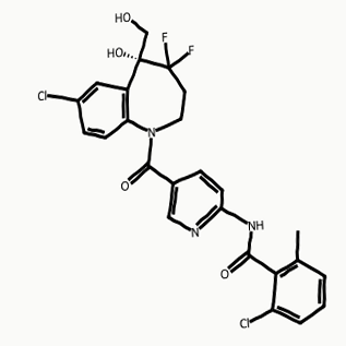 Cc1cccc(Cl)c1C(=O)Nc1ccc(C(=O)N2CCC(F)(F)[C@](O)(CO)c3cc(Cl)ccc32)cn1